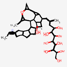 C=C(CC(O)C(O)C(O)C(O)C(O)C(O)C(O)CO)CC1C2CC(O)C2C2C(C3C(C)CC4CC5C/C(=C\C)CC5C43)C3C(C)C3OC3CC3C3C1C32